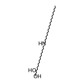 CCCCCCCCCCCCCCCCCCCCCCNCCCCCCCCCCCCCCCC(O)CCO